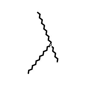 CCCCCCCCCCCCP(CCCCCC)CCCCCCCCCCCC